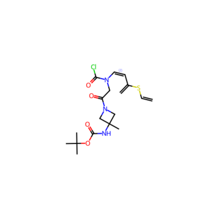 C=CSC(=C)/C=C\N(CC(=O)N1CC(C)(NC(=O)OC(C)(C)C)C1)C(=O)Cl